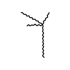 CCCCCCCCCCCCCCCCCCCC(CCCCCCCC)(CCCCCCCCC)CCCCCCCCCCCCCC